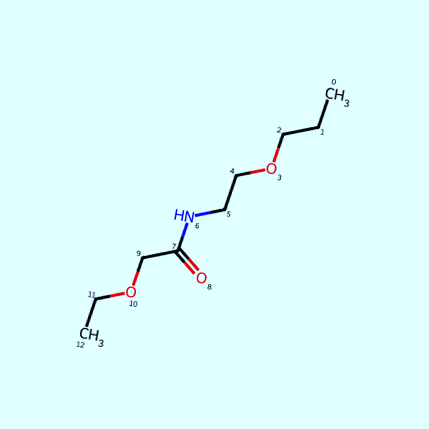 CCCOCCNC(=O)COCC